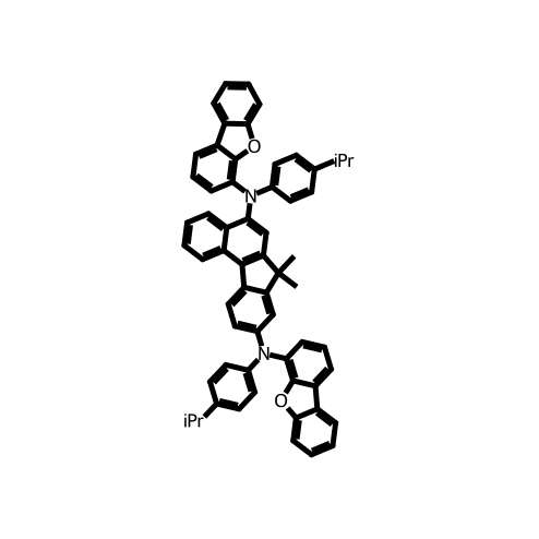 CC(C)c1ccc(N(c2ccc3c(c2)C(C)(C)c2cc(N(c4ccc(C(C)C)cc4)c4cccc5c4oc4ccccc45)c4ccccc4c2-3)c2cccc3c2oc2ccccc23)cc1